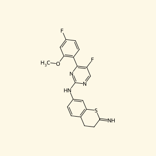 COc1cc(F)ccc1-c1nc(Nc2ccc3c(c2)SC(=N)CC3)ncc1F